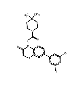 CC1(C)CCN(C(=O)CN2C(=O)COc3cc(-c4cc(Cl)cc(Cl)c4)cnc32)CC1